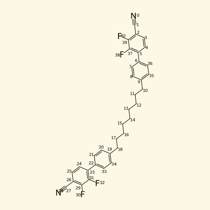 N#Cc1ccc(-c2ccc(CCCCCCCCCc3ccc(-c4ccc(C#N)c(F)c4F)cc3)cc2)c(F)c1F